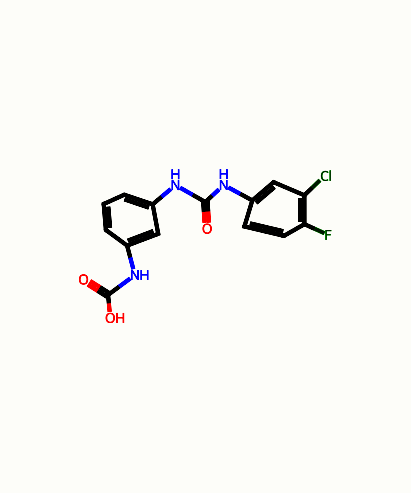 O=C(O)Nc1cccc(NC(=O)Nc2ccc(F)c(Cl)c2)c1